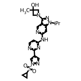 CC(C)n1nc(N2CC(C)(O)C2)c2cnc(Nc3ccnc(-c4cnn(S(=O)(=O)C5CC5)c4)n3)cc21